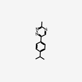 Cc1ncc(-c2ccc(C(C)C)cc2)nn1